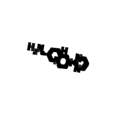 NC[C@@H]1CC[C@@H]2CN(c3ncccn3)CCN2C1